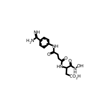 N=C(N)c1ccc(NC(=O)CCC(=O)NC(CC(=O)O)C(=O)NO)cc1